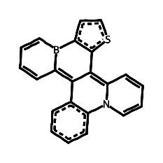 C1=CB2C(=C3C(=C4C=CC=CN4c4ccccc43)c3sccc32)C=C1